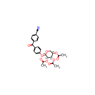 CC(=O)O[C@@H]1[C@@H](Oc2ccc(C(=O)c3ccc(C#N)cc3)cc2)OC[C@@H](OC(C)=O)[C@@H]1OC(C)=O